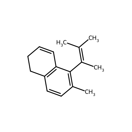 CC(C)=C(C)c1c(C)ccc2c1C=CCC2